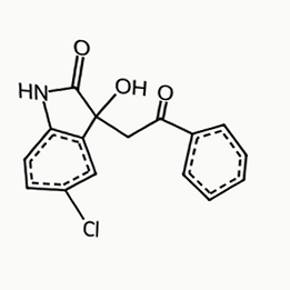 O=C(CC1(O)C(=O)Nc2ccc(Cl)cc21)c1ccccc1